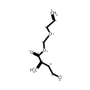 C=CCOCOC(=O)C(=C)CCCl